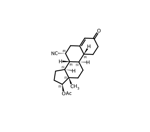 CC(=O)O[C@H]1CC[C@H]2[C@H]3[C@H](CC[C@]12C)[C@H]1CCC(=O)C=C1C[C@H]3C#N